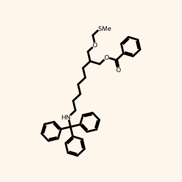 CSCOCC(CCCCCCNC(c1ccccc1)(c1ccccc1)c1ccccc1)COC(=O)c1ccccc1